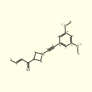 C/C=C/C(=O)[C]1CN(C#Cc2cc(OC)cc(OC)c2)C1